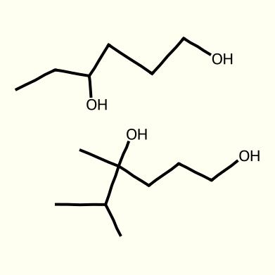 CC(C)C(C)(O)CCCO.CCC(O)CCCO